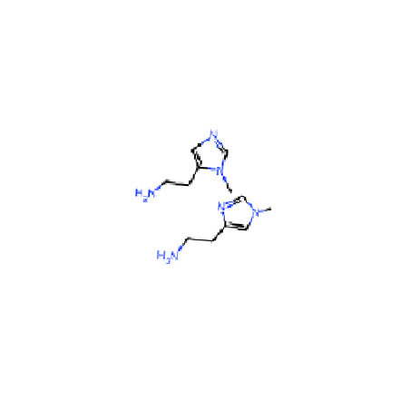 Cn1cnc(CCN)c1.Cn1cncc1CCN